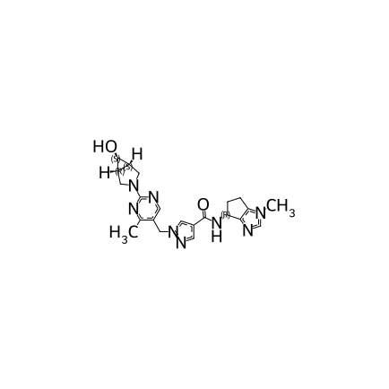 Cc1nc(N2C[C@@H]3[C@@H](O)[C@@H]3C2)ncc1Cn1cc(C(=O)N[C@@H]2CCc3c2ncn3C)cn1